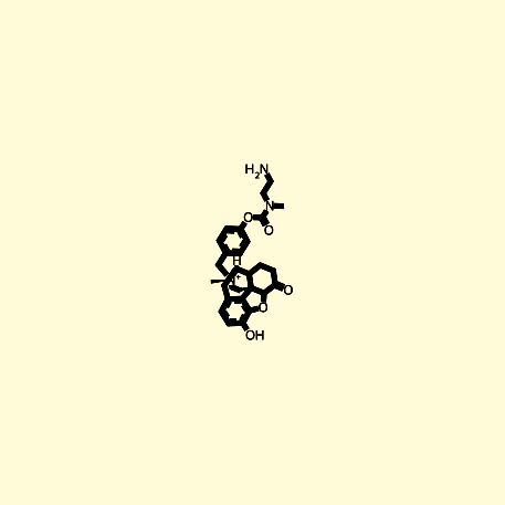 CN(CCN)C(=O)Oc1ccc(C[N@@+]2(C)CC[C@]34c5c6ccc(O)c5OC3C(=O)CCC4[C@H]2C6)cc1